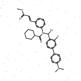 [2H]C(c1ccc(-c2ccc(N(C)C)cc2)cc1F)N(C(=O)C1CCCCC1)c1cccc(/C=C/C(=O)OC)c1